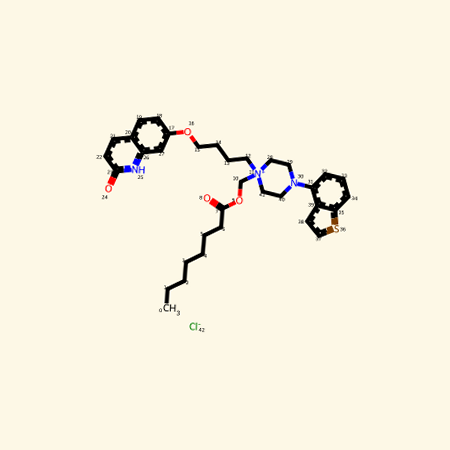 CCCCCCCC(=O)OC[N+]1(CCCCOc2ccc3ccc(=O)[nH]c3c2)CCN(c2cccc3sccc23)CC1.[Cl-]